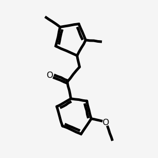 COc1cccc(C(=O)CC2C=C(C)C=C2C)c1